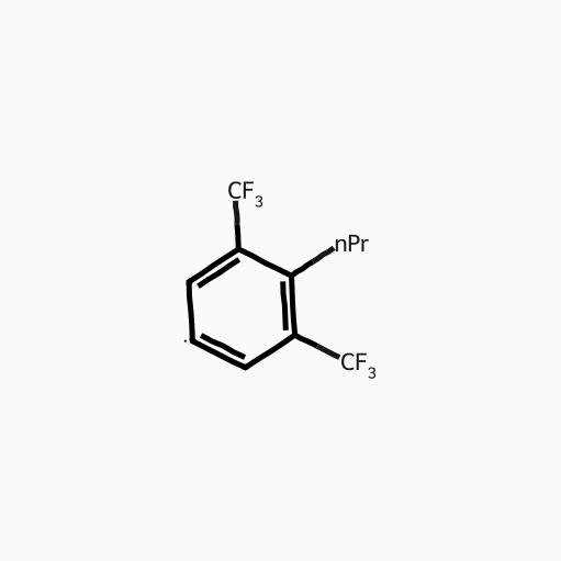 CCCc1c(C(F)(F)F)c[c]cc1C(F)(F)F